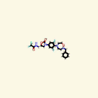 O=C(NC[C@H]1CN(c2cc(F)c(N3CCON(Cc4ccccc4)CC3)c(F)c2)C(=O)O1)C(F)F